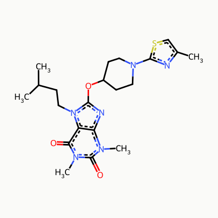 Cc1csc(N2CCC(Oc3nc4c(c(=O)n(C)c(=O)n4C)n3CCC(C)C)CC2)n1